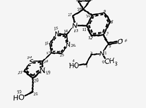 CN(CCO)C(=O)c1ccc2c(c1)N(c1ncc(-c3nc(CO)cs3)cn1)CC21CC1